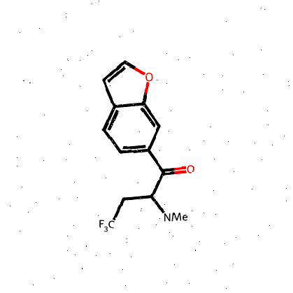 CNC(CC(F)(F)F)C(=O)c1ccc2ccoc2c1